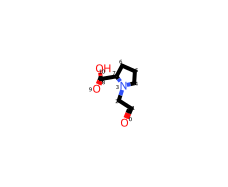 O=CCN1CCCC1C(=O)O